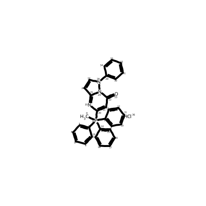 CP(c1ccccc1)(c1ccccc1)(c1ccccc1)c1cc(=O)n2c(ccn2-c2ccccc2)n1.Cl